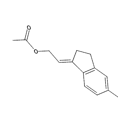 COc1ccc2c(c1)CCC2=CCOC(C)=O